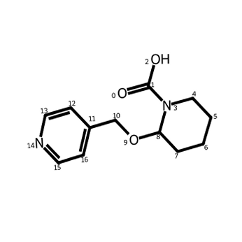 O=C(O)N1CCCCC1OCc1ccncc1